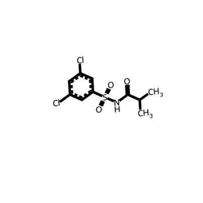 CC(C)C(=O)NS(=O)(=O)c1cc(Cl)cc(Cl)c1